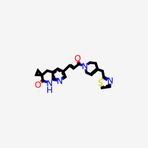 O=C(/C=C/c1cnc2c(c1)CC1(CC1)C(=O)N2)N1CC=C(Cc2nccs2)CC1